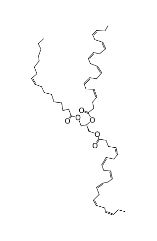 CC/C=C\C/C=C\C/C=C\C/C=C\C/C=C\C/C=C\CCC(=O)OC[C@@H](COC(=O)CCCCCCC/C=C\CCCCCCC)OC(=O)CC/C=C\C/C=C\C/C=C\C/C=C\C/C=C\C/C=C\CC